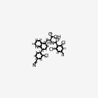 N#Cc1ccc(-c2ccc(CC(NC(=O)c3c(Cl)cc(I)cc3Cl)C(=O)O)c3cccnc23)c(Cl)c1